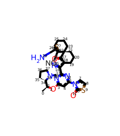 C[C@H](Oc1cc(-n2ccsc2=O)nc(-c2noc3c2CCC[C@@]32CCCc3sc(N)c(C#N)c32)n1)[C@@H]1CCCN1C